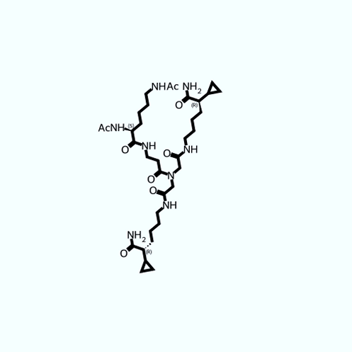 CC(=O)NCCCC[C@H](NC(C)=O)C(=O)NCCC(=O)N(CC(=O)NCCCC[C@@H](C(N)=O)C1CC1)CC(=O)NCCCC[C@@H](C(N)=O)C1CC1